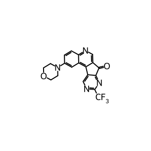 O=C1c2cnc3ccc(N4CCOCC4)cc3c2-c2cnc(C(F)(F)F)nc21